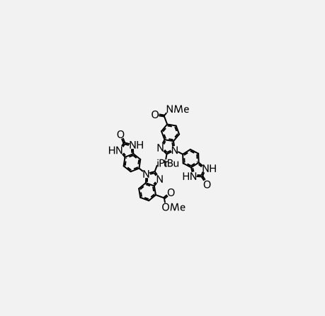 CNC(=O)c1ccc2c(c1)nc(C(C)(C)C)n2-c1ccc2[nH]c(=O)[nH]c2c1.COC(=O)c1cccc2c1nc(C(C)C)n2-c1ccc2[nH]c(=O)[nH]c2c1